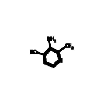 Cc1nccc(C#N)c1N